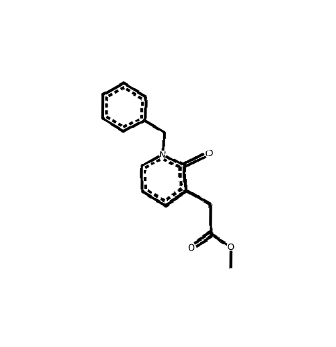 COC(=O)Cc1cccn(Cc2ccccc2)c1=O